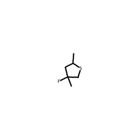 CC1CC(C)(F)CS1